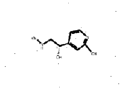 CC(C)(C)NC[C@@H](O)c1ccnc(C#N)c1